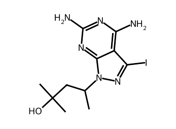 CC(CC(C)(C)O)n1nc(I)c2c(N)nc(N)nc21